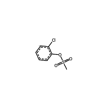 CS(=O)(=O)Oc1ccc[c]c1Cl